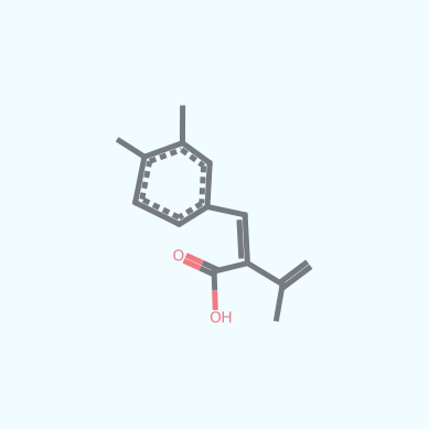 C=C(C)C(=Cc1ccc(C)c(C)c1)C(=O)O